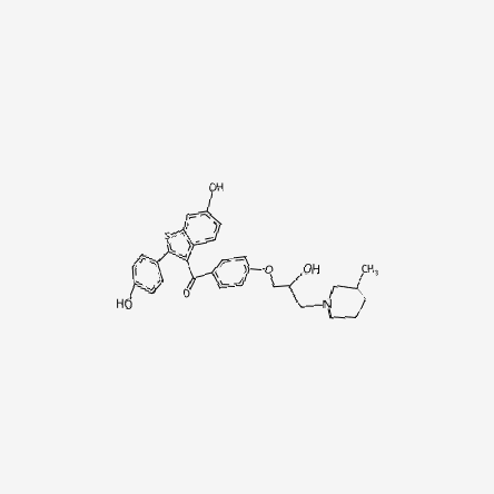 CC1CCCN(CC(O)COc2ccc(C(=O)c3c(-c4ccc(O)cc4)sc4cc(O)ccc34)cc2)C1